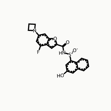 O=C(N[S+]([O-])c1cc(O)cc2ccccc12)c1cc2c(F)cc(N3CCC3)cc2o1